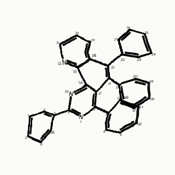 c1ccc(-c2nc(-c3ccccc3)c3c(-c4ccccc4)c(-c4ccccc4)c4cccnc4c3n2)cc1